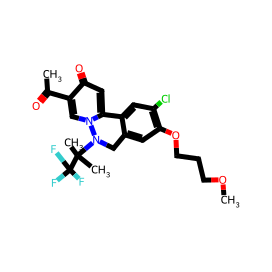 COCCCOc1cc2c(cc1Cl)-c1cc(=O)c(C(C)=O)cn1N(C(C)(C)C(F)(F)F)C2